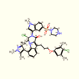 Cc1cc(OCCCc2c3n(c4c(-c5c(C)nn(C)c5C)cccc24)C(C)[C@@H](Cl)N(c2cn(C)c4ccc(S(=O)(=O)N5CCNCC5)cc24)C3=O)cc(C)c1Cl